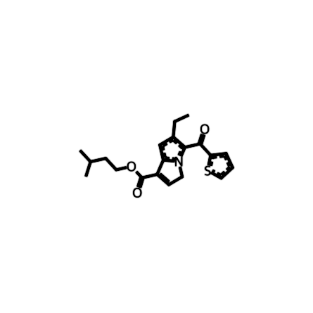 CCc1cc2n(c1C(=O)c1cccs1)CC=C2C(=O)OCCC(C)C